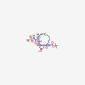 CO[C@@H]1C[C@H]2C(=O)N[C@]3(C(=O)NS(=O)(=O)C4CC4)C[C@H]3/C=C\CCCCCC(NC(=O)OC(C)(C)C)C(=O)N2C1